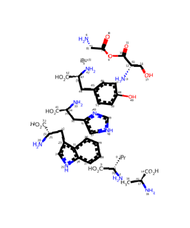 CC(C)[C@H](N)C(=O)O.CC[C@H](C)[C@H](N)C(=O)OC(=O)[C@@H](N)CO.C[C@H](N)C(=O)O.N[C@@H](Cc1c[nH]c2ccccc12)C(=O)O.N[C@@H](Cc1c[nH]cn1)C(=O)O.N[C@@H](Cc1ccc(O)cc1)C(=O)O